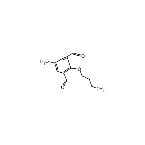 CCCCOc1c(C=O)cc(C)cc1C=O